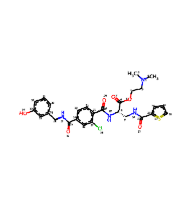 CN(C)CCOC(=O)[C@H](CNC(=O)c1cccs1)NC(=O)c1ccc(C(=O)NCc2cccc(O)c2)cc1Cl